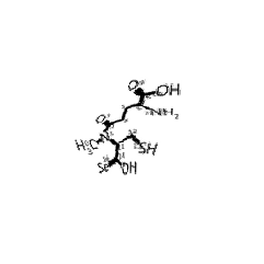 CN(C(=O)CC[C@H](N)C(=O)O)[C@@H](CS)C(O)=[Se]